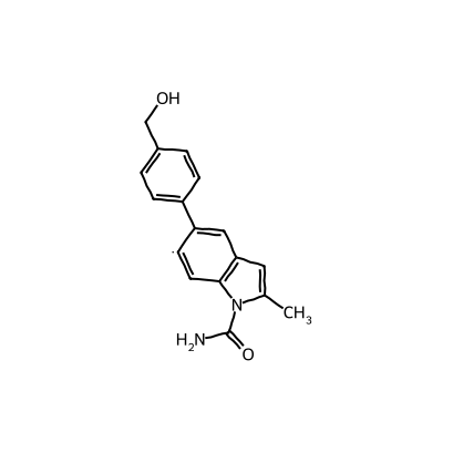 Cc1cc2cc(-c3ccc(CO)cc3)[c]cc2n1C(N)=O